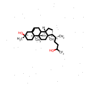 C[C@H](CCC(O)C(F)(F)F)[C@H]1CC[C@H]2C3CC=C4C[C@@](C)(O)CC[C@]4(C)[C@H]3CC[C@]12C